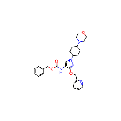 O=C(Nc1cn(C2CCC(N3CCOCC3)CC2)nc1OCc1ccccn1)OCc1ccccc1